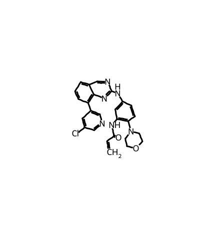 C=CC(=O)Nc1cc(Nc2ncc3cccc(-c4cncc(Cl)c4)c3n2)ccc1N1CCOCC1